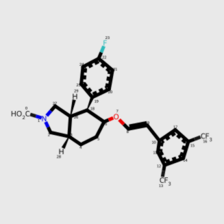 O=C(O)N1C[C@H]2CCC(OC=Cc3cc(C(F)(F)F)cc(C(F)(F)F)c3)[C@H](c3ccc(F)cc3)[C@H]2C1